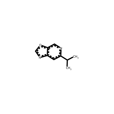 CC(C)c1cc2ncoc2cn1